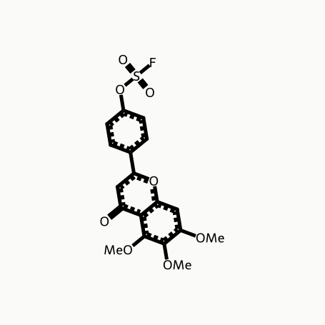 COc1cc2oc(-c3ccc(OS(=O)(=O)F)cc3)cc(=O)c2c(OC)c1OC